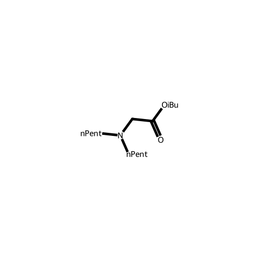 CCCCCN(CCCCC)CC(=O)OCC(C)C